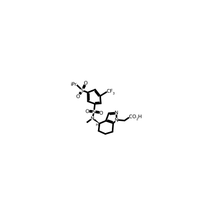 CC(C)S(=O)(=O)c1cc(C(F)(F)F)cc(S(=O)(=O)N(C)[C@@H]2CCCc3c2cnn3CC(=O)O)c1